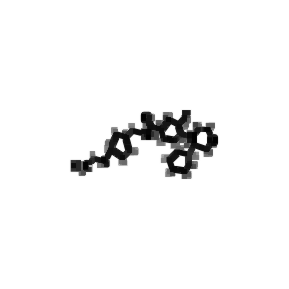 CCSc1ccc(CNC(=O)c2ccc(N3CCOCC3c3ccccc3)c(F)c2)cc1